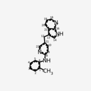 Cc1ccccc1Nc1ccc(Cc2c[nH]c3ncccc23)cn1